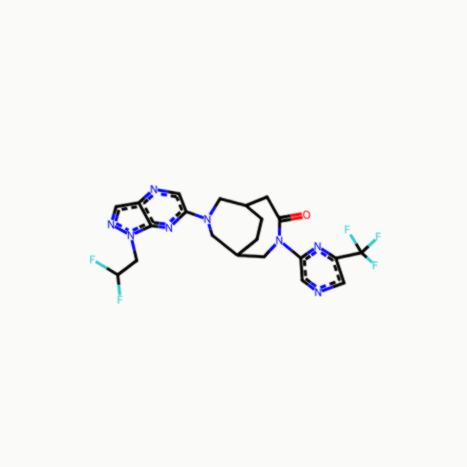 O=C1CC2CCC(CN(c3cnc4cnn(CC(F)F)c4n3)C2)CN1c1cncc(C(F)(F)F)n1